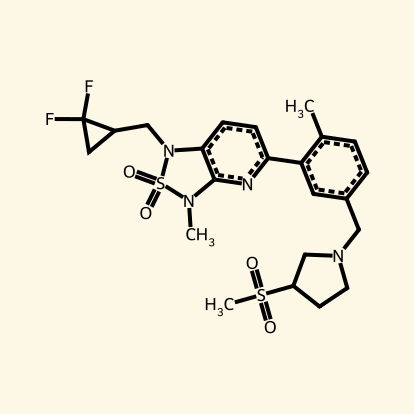 Cc1ccc(CN2CCC(S(C)(=O)=O)C2)cc1-c1ccc2c(n1)N(C)S(=O)(=O)N2CC1CC1(F)F